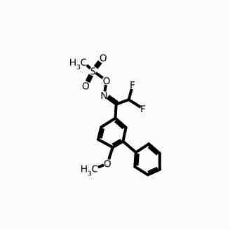 COc1ccc(C(=NOS(C)(=O)=O)C(F)F)cc1-c1ccccc1